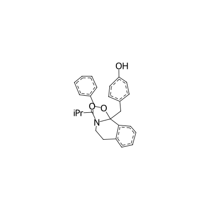 CC(C)C(=O)N1CCc2ccccc2C1(Cc1ccc(O)cc1)OCc1ccccc1